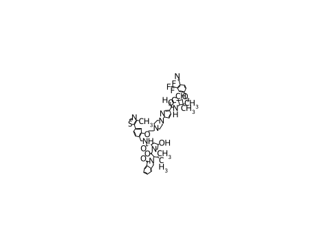 Cc1ncsc1-c1ccc(CNC(=O)[C@@H]2C[C@@H](O)CN2C(=O)C(C(C)C)N2Cc3ccccc3C2=O)c(OCCN2CCN(c3ccc(C(=O)NC4C(C)(C)C(Oc5ccc(C#N)c(C(F)(F)F)c5)C4(C)C)cn3)CC2)c1